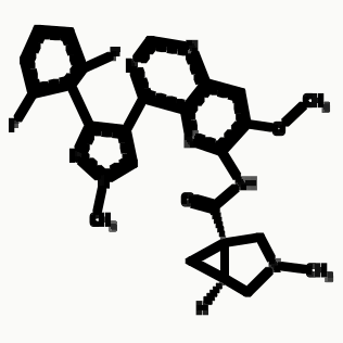 COc1cc2ncnc(-c3cn(C)nc3-c3c(F)cccc3F)c2nc1NC(=O)[C@@]12C[C@@H]1CN(C)C2